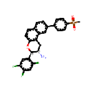 CS(=O)(=O)c1ccc(-c2ccc3ccc4c(c3c2)C[C@H](N)[C@@H](c2cc(F)c(F)cc2F)O4)cc1